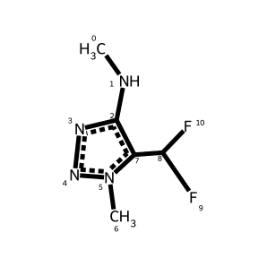 CNc1nnn(C)c1C(F)F